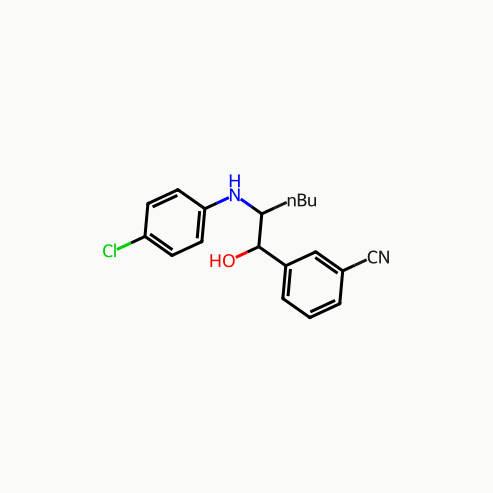 CCCCC(Nc1ccc(Cl)cc1)C(O)c1cccc(C#N)c1